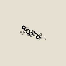 Nc1nccc(Sc2cnc3c(n2)OC[C@H]2CC[C@@]4(CCN32)Oc2ccccc2[C@@H]4N)c1Cl